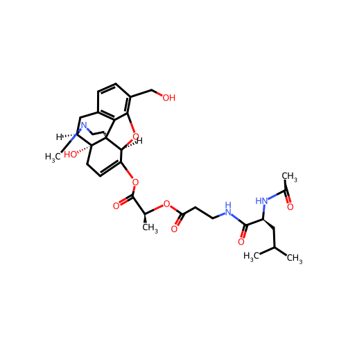 CC(=O)N[C@@H](CC(C)C)C(=O)NCCC(=O)O[C@@H](C)C(=O)OC1=CC[C@@]2(O)[C@H]3Cc4ccc(CO)c5c4[C@@]2(CCN3C)[C@H]1O5